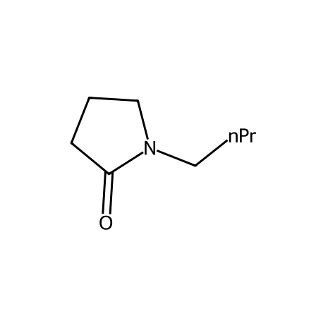 CCCCN1CCCC1=O